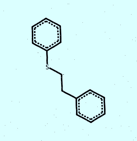 [CH](Cc1ccccc1)Sc1ccccc1